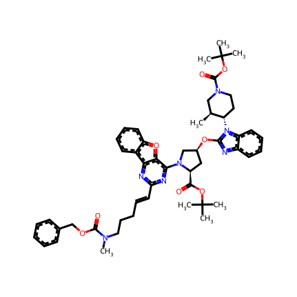 C[C@H]1CN(C(=O)OC(C)(C)C)CC[C@@H]1n1c(O[C@H]2C[C@@H](C(=O)OC(C)(C)C)N(c3nc(C=CCCCN(C)C(=O)OCc4ccccc4)nc4c3oc3ccccc34)C2)nc2ccccc21